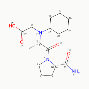 C[C@@H](C(=O)N1CCC[C@H]1C(N)=O)N(CC(=O)O)C1CCCCC1